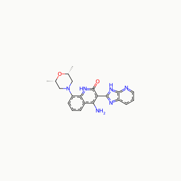 C[C@@H]1CN(c2cccc3c(N)c(-c4nc5cccnc5[nH]4)c(=O)[nH]c23)C[C@H](C)O1